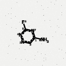 Nc1cnnc(F)n1